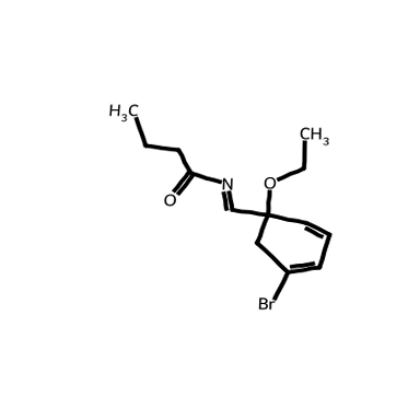 CCCC(=O)/N=C/C1(OCC)C=CC=C(Br)C1